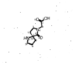 O=C(O)CN1CC[C@]2(CCCN2)C1=O